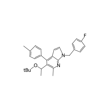 Cc1ccc(-c2c(C(C)OC(C)(C)C)c(C)nc3c2ccn3Cc2ccc(F)cc2)cc1